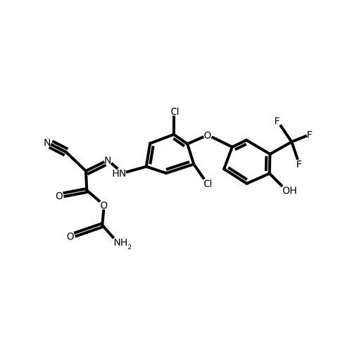 N#CC(=NNc1cc(Cl)c(Oc2ccc(O)c(C(F)(F)F)c2)c(Cl)c1)C(=O)OC(N)=O